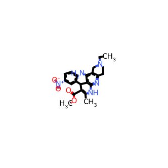 CCN1CCc2nc3c(c(N)c2C1)C(c1cccc([N+](=O)[O-])c1)C(C(=O)OC)=C(C)N3